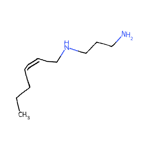 CCC/C=C\CNCCCN